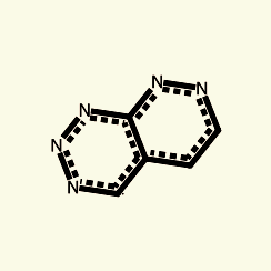 [c]1nnnc2nnccc12